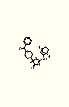 CC1(C2CCN(C(=O)c3ccccc3)CC2)SC(N[C@H]2C[C@H]3CC[C@H]2C3)=NC1=O